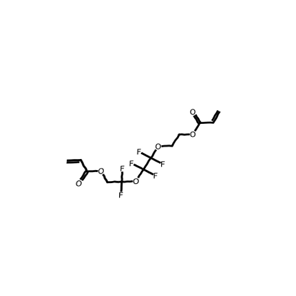 C=CC(=O)OCCOC(F)(F)C(F)(F)OC(F)(F)COC(=O)C=C